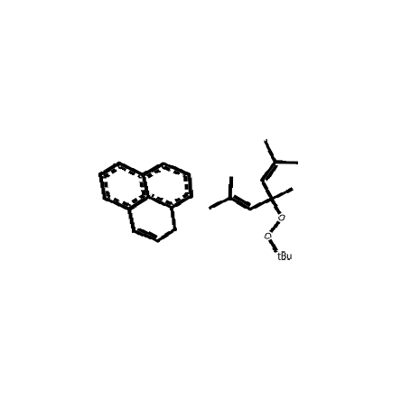 C1=Cc2cccc3cccc(c23)C1.CC(C)=CC(C)(C=C(C)C)OOC(C)(C)C